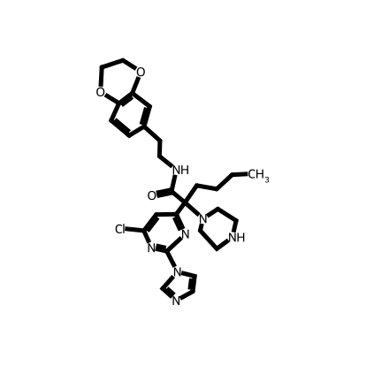 CCCCC(C(=O)NCCc1ccc2c(c1)OCCO2)(c1cc(Cl)nc(-n2ccnc2)n1)N1CCNCC1